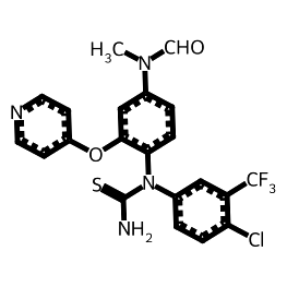 CN(C=O)c1ccc(N(C(N)=S)c2ccc(Cl)c(C(F)(F)F)c2)c(Oc2ccncc2)c1